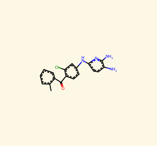 Cc1ccccc1C(=O)c1ccc(Nc2ccc(N)c(N)n2)cc1Cl